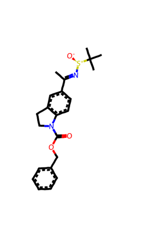 C/C(=N\[S@@+]([O-])C(C)(C)C)c1ccc2c(c1)CCN2C(=O)OCc1ccccc1